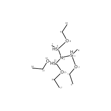 CCO[SiH](C)N([SiH](C)OCC)[SiH](OCC)OCC